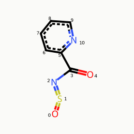 O=S=NC(=O)c1ccccn1